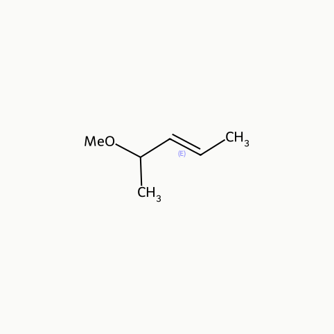 C/C=C/C(C)OC